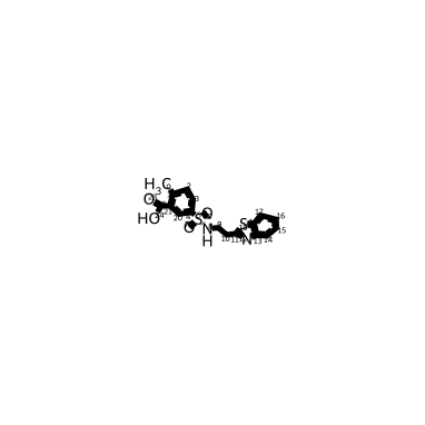 Cc1ccc(S(=O)(=O)NCCc2nc3ccccc3s2)cc1C(=O)O